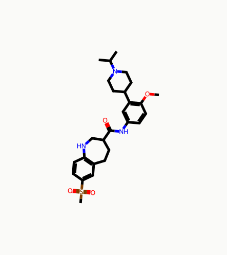 COc1ccc(NC(=O)C2CCc3cc(S(C)(=O)=O)ccc3NC2)cc1C1CCN(C(C)C)CC1